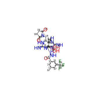 Cc1cc(C(=O)NC2CN3C(=N)NC(CN4C(=O)CCC4=O)[C@@H]4NC(=N)N[C@@]43C2(O)O)cc(C(F)(F)F)c1